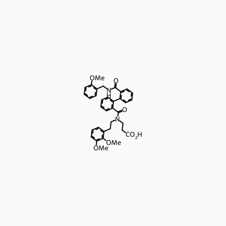 COc1ccccc1CNC(=O)c1ccccc1-c1ccccc1C(=O)N(CCC(=O)O)CCc1cccc(OC)c1OC